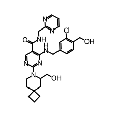 O=C(NCc1ncccn1)c1cnc(N2CCC3(CCC3)CC2CO)nc1NCc1ccc(CO)c(Cl)c1